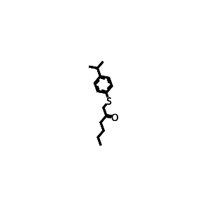 CCCCC(=O)CSc1ccc(C(C)C)cc1